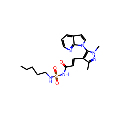 CCCCCNS(=O)(=O)NC(=O)C=Cc1c(C)nn(C)c1-n1ccc2cccnc21